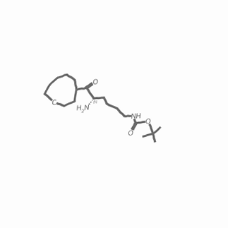 CC(C)(C)OC(=O)NCCCC[C@H](N)C(=O)C1CCCCCCCC1